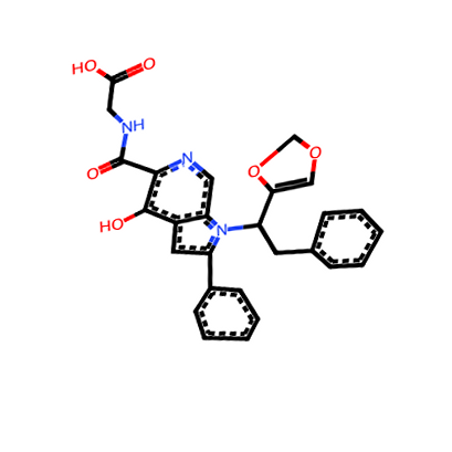 O=C(O)CNC(=O)c1ncc2c(cc(-c3ccccc3)n2C(Cc2ccccc2)C2=COCO2)c1O